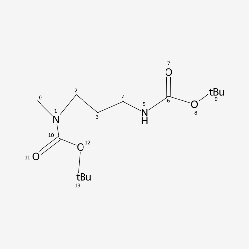 CN(CCCNC(=O)OC(C)(C)C)C(=O)OC(C)(C)C